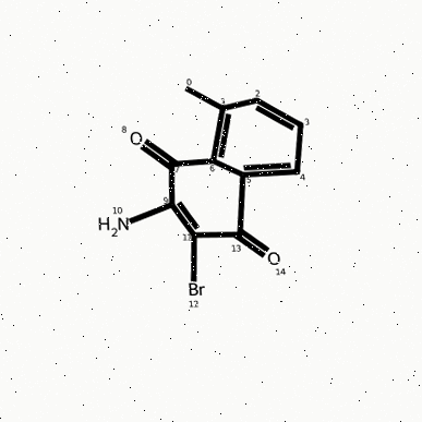 Cc1cccc2c1C(=O)C(N)=C(Br)C2=O